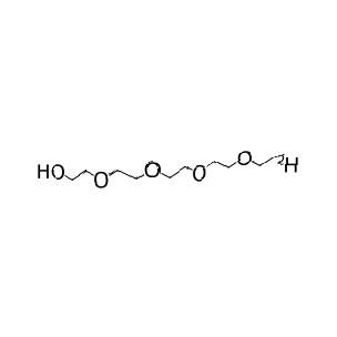 [2H]CCOCCOCCOCCOCCO